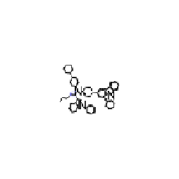 CC=C/C=C(\c1cn(-c2ccccc2)c2ccccc12)N(C1=CCC(c2cc3c4ccccc4n4c5ccccc5c(c2)c34)C=C1)c1ccc(-c2ccccc2)cc1